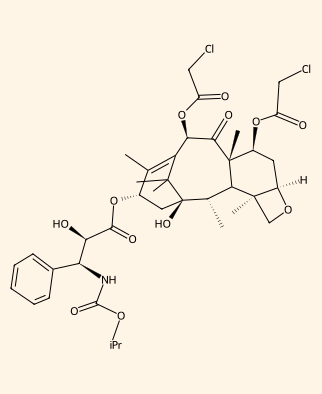 CC1=C2[C@@H](OC(=O)CCl)C(=O)[C@@]3(C)C([C@H](C)[C@](O)(C[C@@H]1OC(=O)[C@H](O)[C@@H](NC(=O)OC(C)C)c1ccccc1)C2(C)C)[C@]1(C)CO[C@@H]1C[C@@H]3OC(=O)CCl